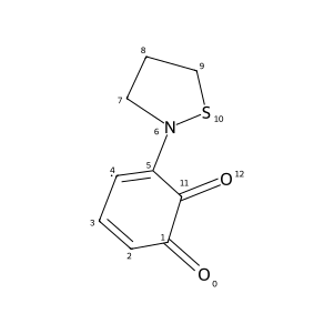 O=C1C=C[C]=C(N2CCCS2)C1=O